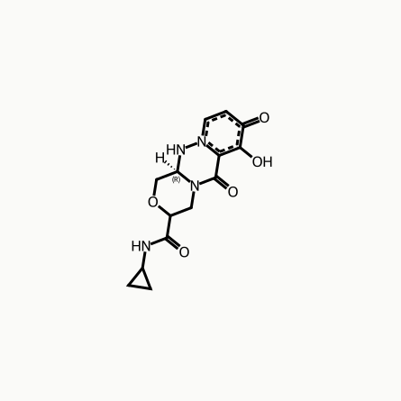 O=C(NC1CC1)C1CN2C(=O)c3c(O)c(=O)ccn3N[C@@H]2CO1